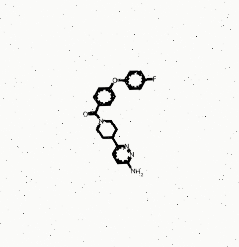 Nc1ccc(C2CCN(C(=O)c3ccc(Oc4ccc(F)cc4)cc3)CC2)nn1